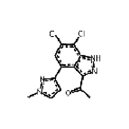 CC(=O)c1n[nH]c2c(Cl)c(Cl)cc(-c3ccn(C)n3)c12